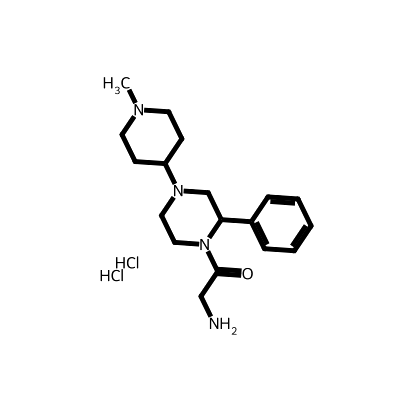 CN1CCC(N2CCN(C(=O)CN)C(c3ccccc3)C2)CC1.Cl.Cl